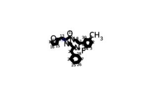 Cc1ccc(F)c(C2=CN3C(=O)/C(=C/c4ccco4)N=C3C(Cc3ccccc3)=N2)c1